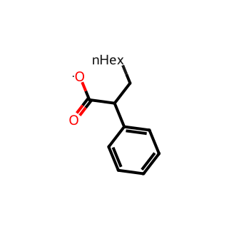 CCCCCCCC(C([O])=O)c1ccccc1